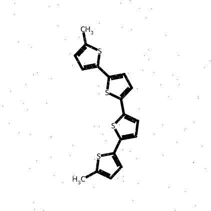 Cc1ccc(-c2ccc(-c3ccc(-c4ccc(C)s4)s3)s2)s1